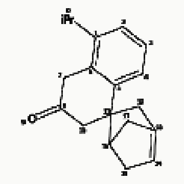 CC(C)c1cccc2c1CC(=O)CC21CC2=CCC1C2